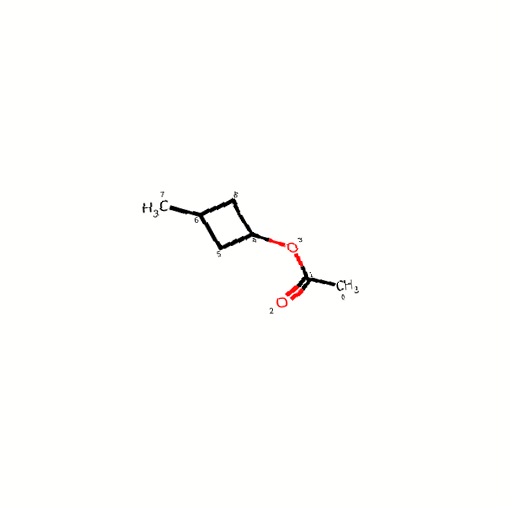 CC(=O)OC1CC(C)C1